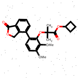 COc1ccc(-c2cccc3c2COC3=O)c(OC(C)(C)C(=O)OC2CCC2)c1OC